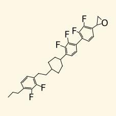 CCCc1ccc(CCC2CCC(c3ccc(-c4ccc(C5CO5)c(F)c4F)c(F)c3F)CC2)c(F)c1F